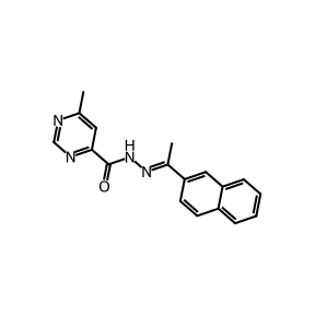 CC(=NNC(=O)c1cc(C)ncn1)c1ccc2ccccc2c1